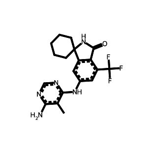 Cc1c(N)ncnc1Nc1cc(C(F)(F)F)c2c(c1)C1(CCCCC1)NC2=O